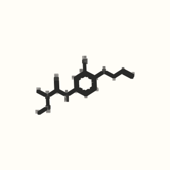 C=CCSc1ccc(NC(=O)N(C)OC)cc1Cl